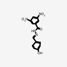 O=C(NN=Cc1ccc(O)cc1)c1cc([N+](=O)[O-])cc([N+](=O)[O-])c1